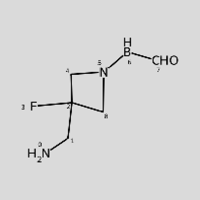 NCC1(F)CN(BC=O)C1